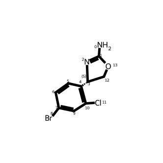 NC1=N[C@@H](c2ccc(Br)cc2Cl)CO1